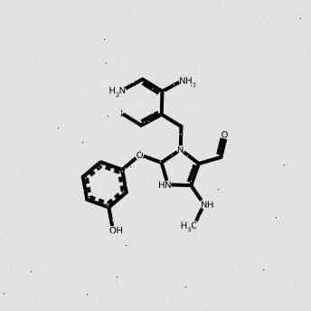 CNC1=C(C=O)N(CC(=C/I)/C(N)=C\N)C(Oc2cccc(O)c2)N1